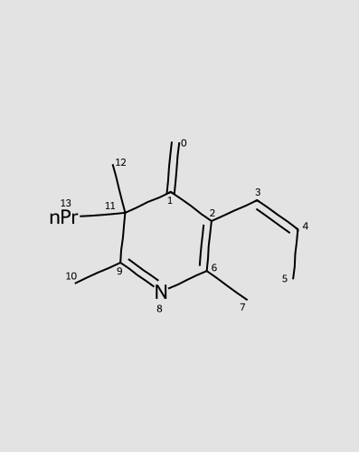 C=C1C(/C=C\C)=C(C)N=C(C)C1(C)CCC